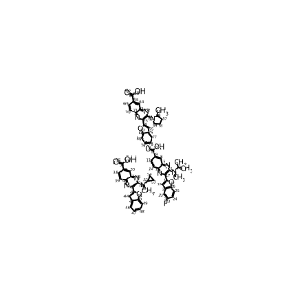 CC(C)N(C)c1nc2cc(C(=O)O)ccc2nc1-c1cc2cc(F)ccc2o1.CN(c1nc2cc(C(=O)O)ccc2nc1-c1cc2ccccc2o1)C1CC1.C[C@H]1CCCN1c1nc2cc(C(=O)O)ccc2nc1-c1cc2ccccc2o1